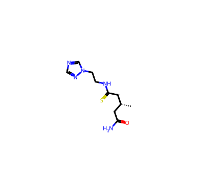 C[C@@H]([CH]C(=S)NCCn1cncn1)CC(N)=O